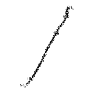 COCCCC(=O)NCCOCCOCCOCCOCCOCCOCCOCCOCCOCCOCCOCCOCCC(=O)NCCCOCCOCCOCCCNC(=O)c1ccc(COC)cc1